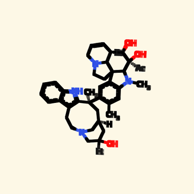 CCC1(O)C[C@H]2C[N@](CCc3c([nH]c4ccccc34)[C@@](C)(c3cc4c(cc3C)N(C)C3C45CCN4CC=C[C@](CC)(C45)[C@@H](O)[C@]3(O)C(C)=O)C2)C1